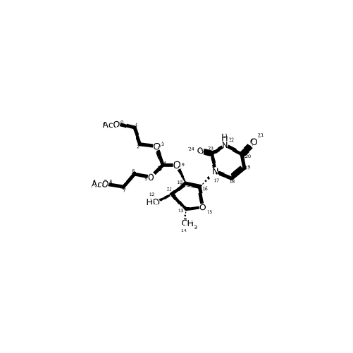 CC(=O)OCCOC(OCCOC(C)=O)O[C@@H]1[C@H](O)[C@@H](C)O[C@H]1n1ccc(=O)[nH]c1=O